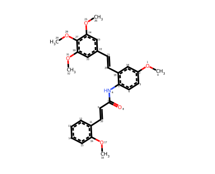 COc1ccc(NC(=O)/C=C/c2ccccc2OC)c(C=Cc2cc(OC)c(OC)c(OC)c2)c1